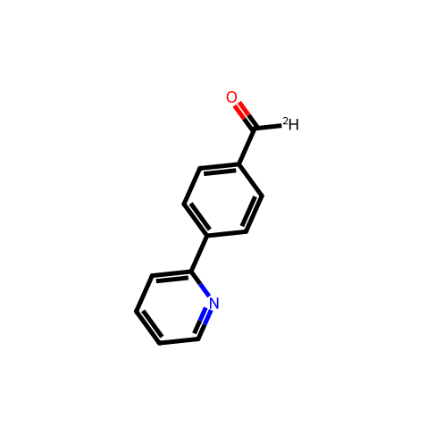 [2H]C(=O)c1ccc(-c2ccccn2)cc1